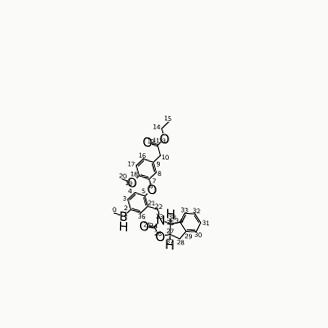 CBc1ccc(Oc2cc(CC(=O)OCC)ccc2OC)c(CN2C(=O)O[C@H]3Cc4ccccc4[C@H]32)c1